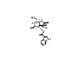 N=C1N[C@H]2[C@H](CO)NC(=N)N3C[C@H](OC(=O)c4c[nH]c5ccccc45)C(O)(O)[C@]23N1